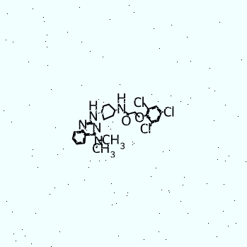 CN(C)c1nc(N[C@H]2CC[C@@H](NC(=O)COc3c(Cl)cc(Cl)cc3Cl)CC2)nc2ccccc12